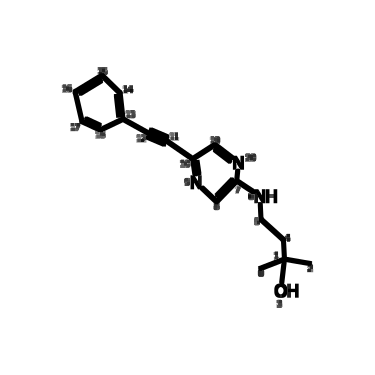 CC(C)(O)CCNc1cnc(C#Cc2ccccc2)cn1